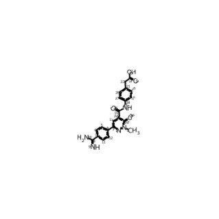 Cn1nc(-c2ccc(C(=N)N)cc2)cc(C(=O)Nc2ccc(CC(=O)O)cc2)c1=O